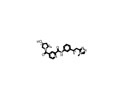 C[C@H](Cc1nncn1C)c1cccc(NC(=O)c2cc(C(=O)N3C[C@@H](O)C[C@H]3C)ccn2)c1